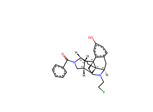 O=C(c1ccccc1)N1C[C@H]2C[C@@]34CC[C@@H]1[C@@H]2[C@@]31CCN(CCF)[C@@H]4Cc2ccc(O)cc21